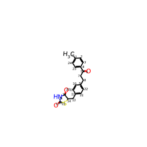 Cc1ccc(C(=O)CCc2ccc(CC3SC(=O)NC3=O)cc2)cc1